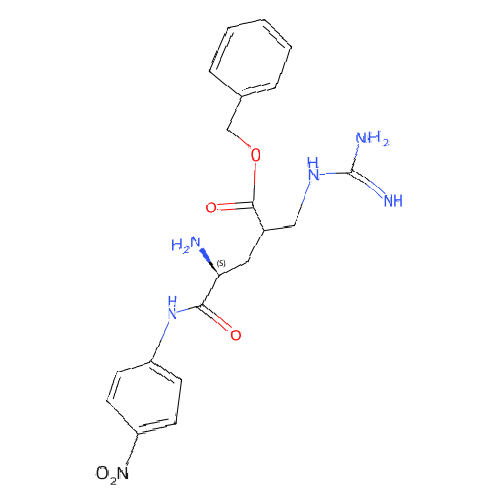 N=C(N)NCC(C[C@H](N)C(=O)Nc1ccc([N+](=O)[O-])cc1)C(=O)OCc1ccccc1